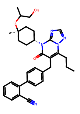 CCCc1c(Cc2ccc(-c3ccccc3C#N)cc2)c(=O)n([C@H]2CC[C@](C)(OC(C)CO)CC2)c2ncnn12